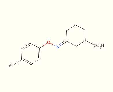 CC(=O)c1ccc(O/N=C2\CCCC(C(=O)O)C2)cc1